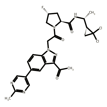 CC(=O)c1nn(CC(=O)N2C[C@H](F)C[C@H]2C(=O)N[C@H](C)[C@H]2CC2(Cl)Cl)c2ccc(-c3cnc(C)nc3)cc12